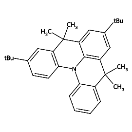 CC(C)(C)c1ccc2c(c1)C(C)(C)c1cc(C(C)(C)C)cc3c1N2c1ccccc1C3(C)C